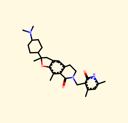 Cc1cc(C)c(CN2CCc3cc4c(c(C)c3C2=O)OC(C)(C2CCC(N(C)C)CC2)C4)c(=O)[nH]1